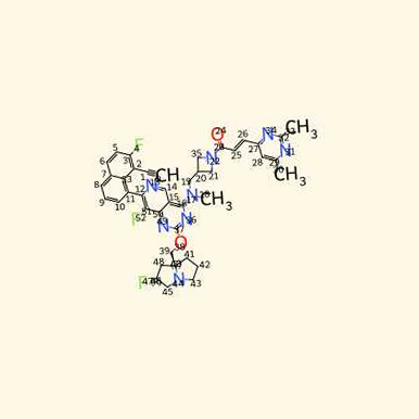 C#Cc1c(F)ccc2cccc(-c3ncc4c(N(C)CC5CN(C(=O)C=Cc6cc(C)nc(C)n6)C5)nc(OC[C@@]56CCCN5C[C@H](F)C6)nc4c3F)c12